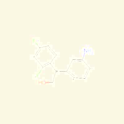 Nc1cccc(C(CO)c2ccc(F)cc2F)c1